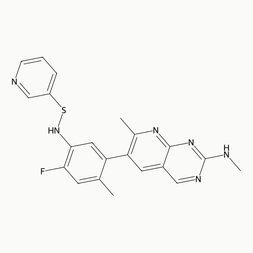 CNc1ncc2cc(-c3cc(NSc4cccnc4)c(F)cc3C)c(C)nc2n1